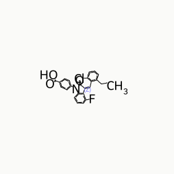 CCCc1cccc(Cl)c1/C=C1\C(=O)N(c2ccc(C(=O)O)cc2)c2cccc(F)c21